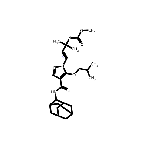 COC(=O)NC(C)(C)/C=C/n1ncc(C(=O)NC2C3CC4CC(C3)CC2C4)c1OCC(C)C